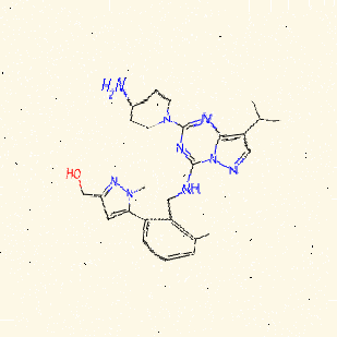 Cc1cccc(-c2cc(CO)nn2C)c1CNc1nc(N2CCC(N)CC2)nc2c(C(C)C)cnn12